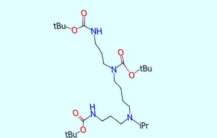 CC(C)N(CCCCN(CCCNC(=O)OC(C)(C)C)C(=O)OC(C)(C)C)CCCNC(=O)OC(C)(C)C